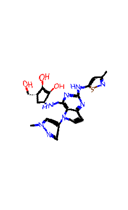 Cc1cc(Nc2nc(N[C@@H]3C[C@H](CO)[C@@H](O)[C@H]3O)c3c(ccn3-c3cnn(C)c3)n2)sn1